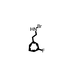 Fc1cccc(CCNBr)c1